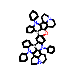 c1ccc(N2c3ccccc3B3c4cc5c(cc4Oc4c6c7c(c2c43)CCCN7CCC6)N(c2ccccc2)c2c3c4c(c6c2B5c2ccccc2N6c2ccccc2)CCCN4CCC3)cc1